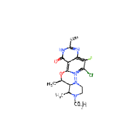 CSc1nc2c(F)c(Cl)nc(OC(C)C3NCCN(C(=O)O)C3C)c2c(=O)[nH]1